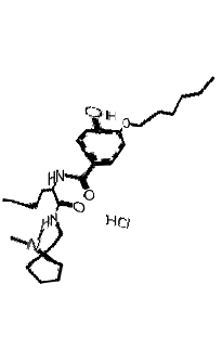 CCCCCCOc1ccc(C(=O)NC(CCC)C(=O)NCC2(N(C)C)CCCC2)cc1O.Cl